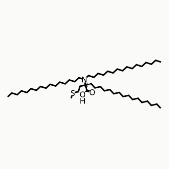 CCCCCCCCCCCCCCCCN(CCCCCCCCCCCCCCCC)[C@@](CCCCCCCCCCCCCCCC)(CCSC)C(=O)O